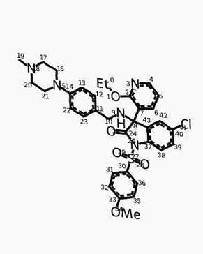 CCOc1ncccc1C1(NCc2ccc(N3CCN(C)CC3)cc2)C(=O)N(S(=O)(=O)c2ccc(OC)cc2)c2ccc(Cl)cc21